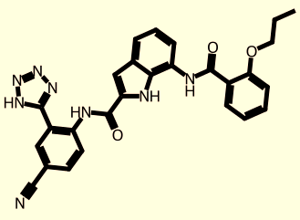 CCCOc1ccccc1C(=O)Nc1cccc2cc(C(=O)Nc3ccc(C#N)cc3-c3nnn[nH]3)[nH]c12